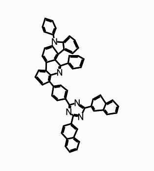 c1ccc(-c2nc3c(-c4ccc(-c5nc(-c6ccc7ccccc7c6)nc(-c6ccc7ccccc7c6)n5)cc4)cccc3c3ccc4c(c5ccccc5n4-c4ccccc4)c23)cc1